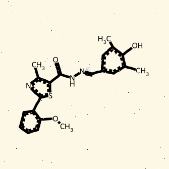 COc1ccccc1-c1nc(C)c(C(=O)N/N=C/c2cc(C)c(O)c(C)c2)s1